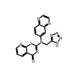 O=c1nc(N(Cc2nnn[nH]2)c2ccc3nccnc3c2)sc2ncccc12